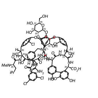 CN[C@H](CC(C)C)C(=O)N[C@H]1C(=O)N[C@@H](CC(N)=O)C(=O)N[C@H]2C(=O)N[C@H]3C(=O)N[C@H](C(=O)N[C@@H](C(=O)O)c4cc(O)cc(O)c4-c4cc3ccc4O)[C@H](O)c3ccc(c(Cl)c3)Oc3cc2cc(c3O[C@@H]2O[C@H](CO)[C@@H](O)[C@H](O)[C@H]2OC2C[C@](C)(NCc3cncc(NC(=O)c4cc(Cl)cc(Cl)c4)c3)[C@H](O)C(C)O2)Oc2ccc(cc2Cl)[C@H]1O